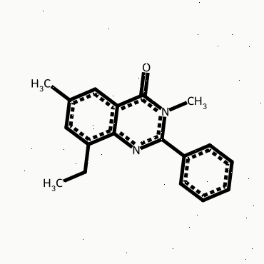 CCc1cc(C)cc2c(=O)n(C)c(-c3ccccc3)nc12